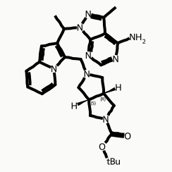 Cc1nn(C(C)c2cc3ccccn3c2CN2C[C@@H]3CN(C(=O)OC(C)(C)C)C[C@@H]3C2)c2ncnc(N)c12